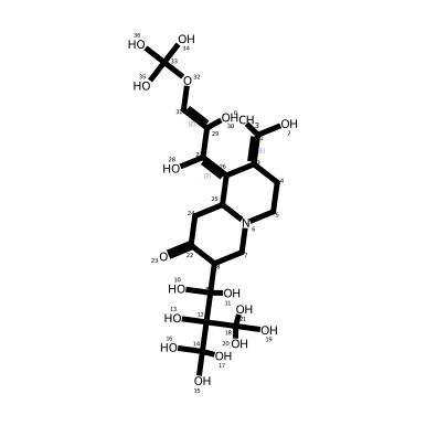 C/C(O)=C1/CCN2CC(C(O)(O)C(O)(C(O)(O)O)C(O)(O)O)C(=O)CC2/C1=C(O)/C(O)=C/OC(O)(O)O